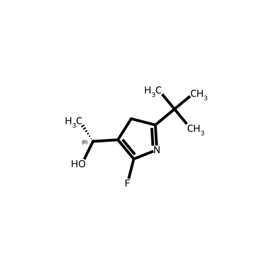 C[C@@H](O)C1=C(F)N=C(C(C)(C)C)C1